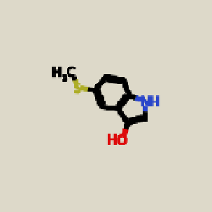 CSc1ccc2[nH]cc(O)c2c1